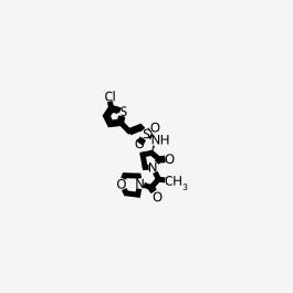 CC(C(=O)N1CCOCC1)N1CC[C@H](NS(=O)(=O)C=Cc2ccc(Cl)s2)C1=O